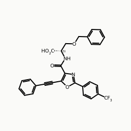 O=C(N[C@@H](COCc1ccccc1)C(=O)O)c1nc(-c2ccc(C(F)(F)F)cc2)oc1C#Cc1ccccc1